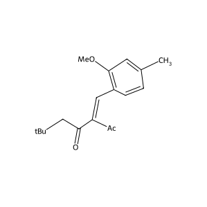 COc1cc(C)ccc1/C=C(\C(C)=O)C(=O)CC(C)(C)C